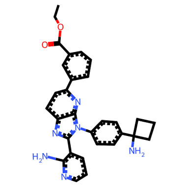 CCOC(=O)c1cccc(-c2ccc3nc(-c4cccnc4N)n(-c4ccc(C5(N)CCC5)cc4)c3n2)c1